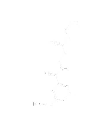 CCOC(=O)CCNC(=O)c1cccc(OC)c1